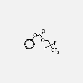 O=S(OCC(F)(F)C(F)(F)F)Oc1ccccc1